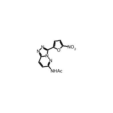 CC(=O)Nc1ccc2nnc(-c3ccc([N+](=O)[O-])o3)n2n1